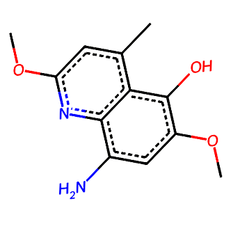 COc1cc(C)c2c(O)c(OC)cc(N)c2n1